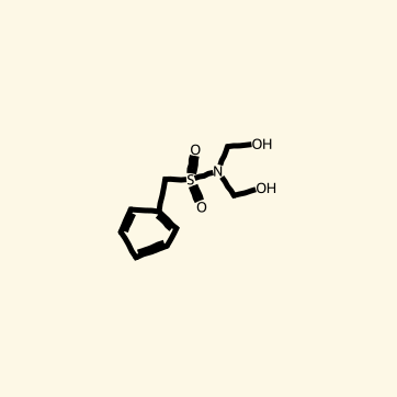 O=S(=O)(Cc1ccccc1)N(CO)CO